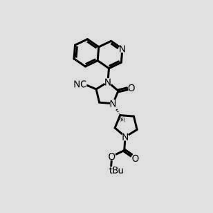 CC(C)(C)OC(=O)N1CC[C@@H](N2CC(C#N)N(c3cncc4ccccc34)C2=O)C1